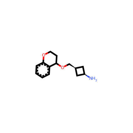 N[C@H]1C[C@@H](COC2CCOc3ccccc32)C1